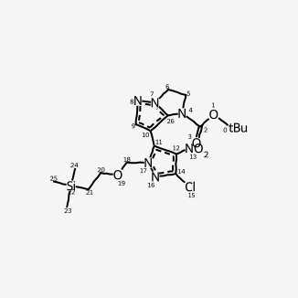 CC(C)(C)OC(=O)N1CCn2ncc(-c3c([N+](=O)[O-])c(Cl)nn3COCC[Si](C)(C)C)c21